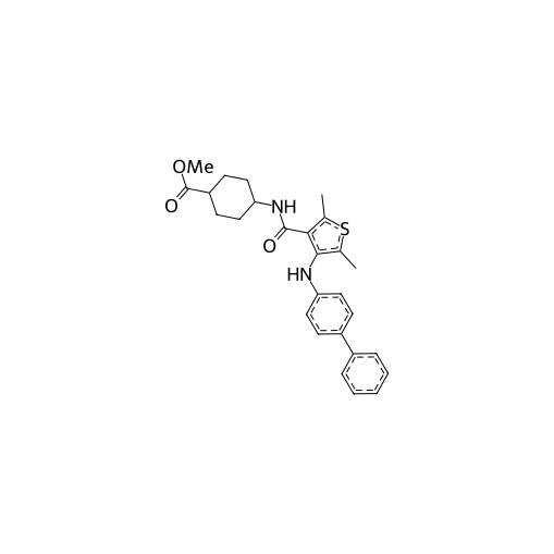 COC(=O)C1CCC(NC(=O)c2c(C)sc(C)c2Nc2ccc(-c3ccccc3)cc2)CC1